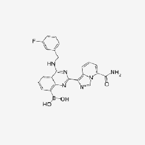 NC(=O)c1cccc2c(-c3nc(NCc4cccc(F)c4)c4cccc(B(O)O)c4n3)ncn12